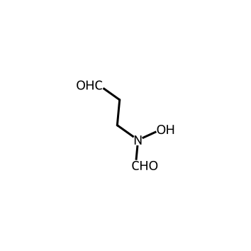 O=CCCN(O)C=O